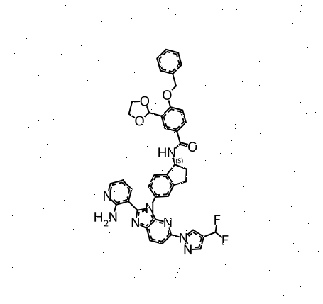 Nc1ncccc1-c1nc2ccc(-n3cc(C(F)F)cn3)nc2n1-c1ccc2c(c1)CC[C@@H]2NC(=O)c1ccc(OCc2ccccc2)c(C2OCCO2)c1